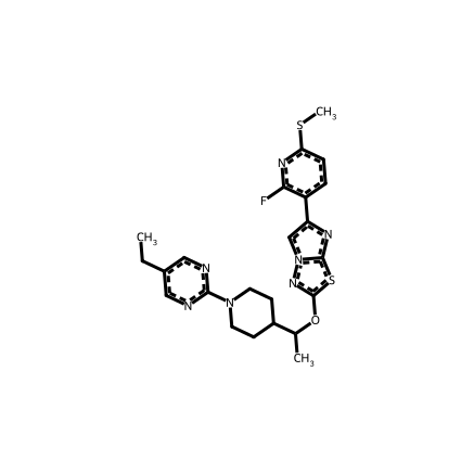 CCc1cnc(N2CCC(C(C)Oc3nn4cc(-c5ccc(SC)nc5F)nc4s3)CC2)nc1